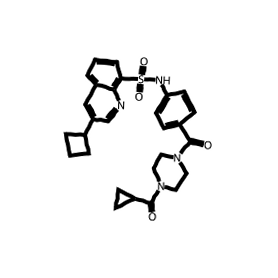 O=C(c1ccc(NS(=O)(=O)c2cccc3cc(C4CCC4)cnc23)cc1)N1CCN(C(=O)C2CC2)CC1